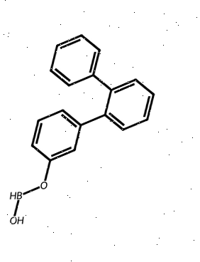 OBOc1cccc(-c2ccccc2-c2ccccc2)c1